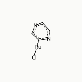 [Cl][Ru][c]1cnccn1